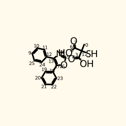 CC(S)(C(=O)O)C(=O)O.c1ccc(-c2ncoc2-c2ccccc2)cc1